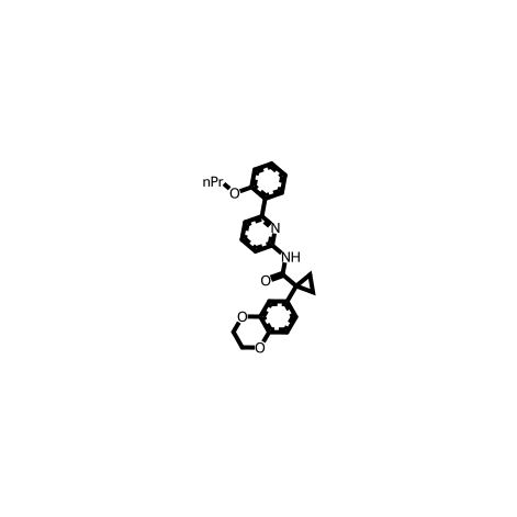 CCCOc1ccccc1-c1cccc(NC(=O)C2(c3ccc4c(c3)OCCO4)CC2)n1